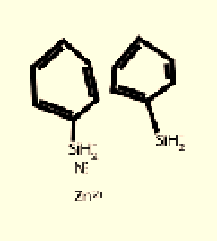 [N].[SiH2-]c1ccccc1.[SiH2-]c1ccccc1.[Zn+2]